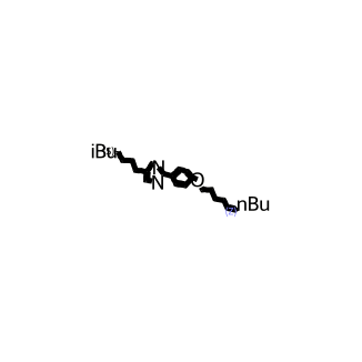 CCCC/C=C\CCCCOc1ccc(-c2ncc(CCCC[C@@H](C)CC)cn2)cc1